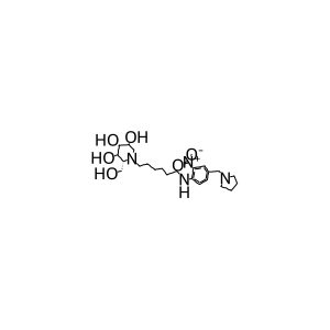 O=[N+]([O-])c1cc(CN2CCCC2)ccc1NCCCCCCN1C[C@H](O)[C@@H](O)[C@H](O)[C@H]1CO